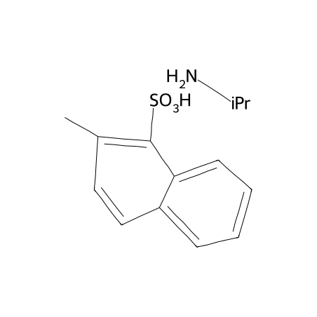 CC(C)N.Cc1ccc2ccccc2c1S(=O)(=O)O